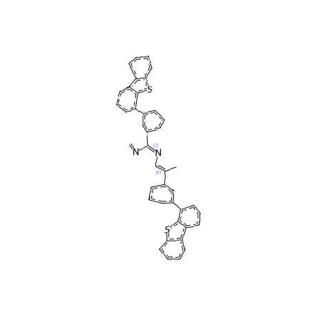 C=N/C(=N\C=C(/C)c1cccc(-c2cccc3c2sc2ccccc23)c1)c1cccc(-c2cccc3c2sc2ccccc23)c1